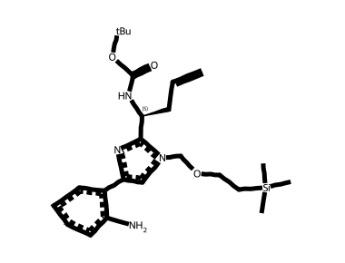 C=CC[C@H](NC(=O)OC(C)(C)C)c1nc(-c2cc[c]cc2N)cn1COCC[Si](C)(C)C